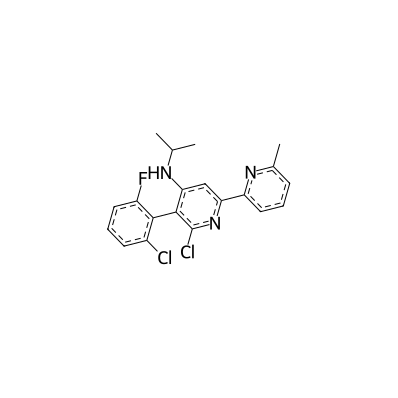 Cc1cccc(-c2cc(NC(C)C)c(-c3c(F)cccc3Cl)c(Cl)n2)n1